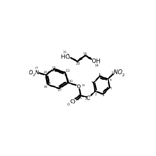 O=C(Oc1ccc([N+](=O)[O-])cc1)Oc1ccc([N+](=O)[O-])cc1.OCCO